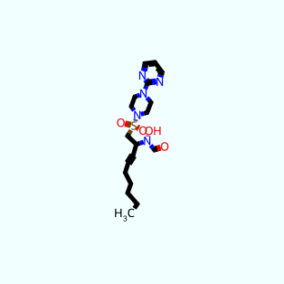 CCCCCC#CC(CS(=O)(=O)N1CCN(c2ncccn2)CC1)N(O)C=O